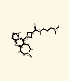 CN(C)CCCNC(=O)C1CN(c2c3c(nc4ccnn24)CCN(C)CC3)C1